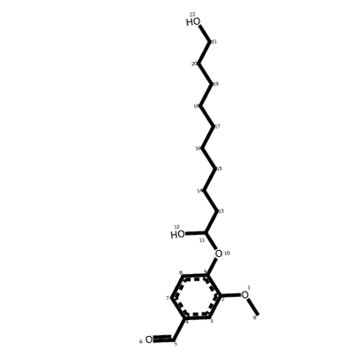 COc1cc(C=O)ccc1OC(O)CCCCCCCCCO